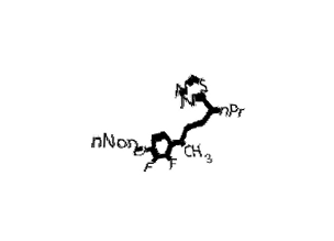 CCCCCCCCCOc1ccc(C(C)CCC(CCC)c2nncs2)c(F)c1F